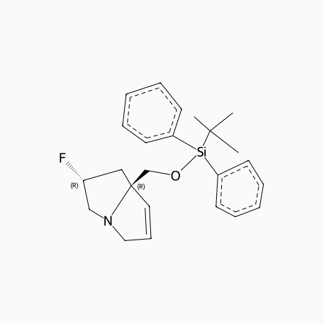 CC(C)(C)[Si](OC[C@@]12C=CCN1C[C@H](F)C2)(c1ccccc1)c1ccccc1